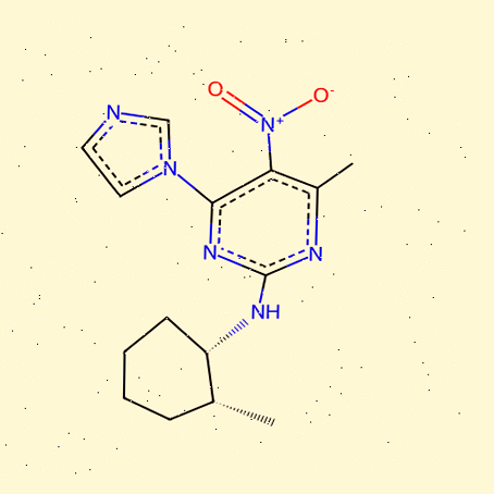 Cc1nc(N[C@H]2CCCC[C@H]2C)nc(-n2ccnc2)c1[N+](=O)[O-]